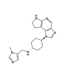 Cn1cncc1CN[C@H]1CC[C@H](n2cnc3cnc4c(c32)CCN4)CC1